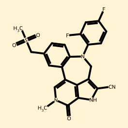 Cn1cc2c3c(c(C#N)[nH]c3c1=O)CN(c1ccc(F)cc1F)c1ccc(CS(C)(=O)=O)cc1-2